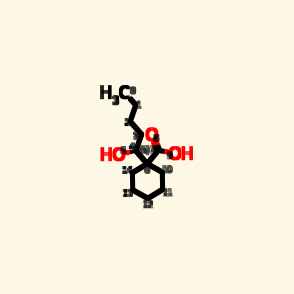 CCCC[C@H](O)C1(C(=O)O)CCCCC1